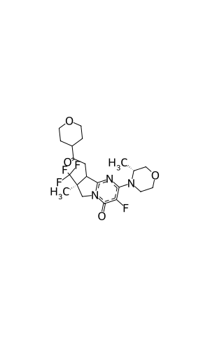 C[C@@H]1COCCN1c1nc2n(c(=O)c1F)C[C@@](C)(C(F)(F)F)C2CC(=O)C1CCOCC1